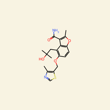 Cc1ncsc1COc1ccc2oc(C)c(C(N)=O)c2c1CC(C)(C)O